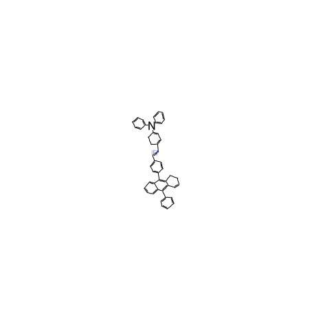 C1=Cc2c(c(-c3ccc(/C=C/C4=CC=C(N(c5ccccc5)c5ccccc5)CC4)cc3)c3ccccc3c2-c2ccccc2)CC1